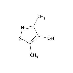 Cc1nsc(C)c1O